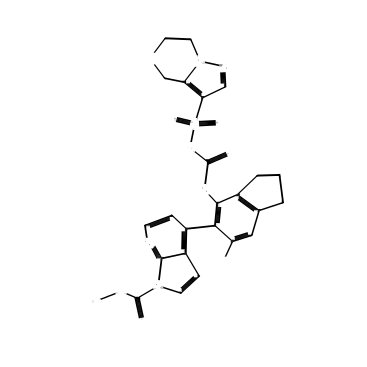 Cc1cc2c(c(NC(=O)NS(=O)(=O)c3cnn4c3COCC4)c1-c1ccnc3c1ccn3C(=O)OC(C)(C)C)CCC2